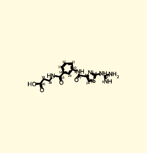 N=C(N)Nc1nc(C(=O)Nc2cccc(C(=O)NCCC(=O)O)c2)cs1